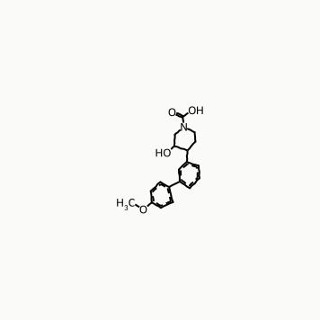 COc1ccc(-c2cccc(C3CCN(C(=O)O)CC3O)c2)cc1